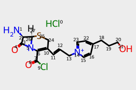 Cl.N[C@@H]1C(=O)N2C(C(=O)Cl)=C(/C=C/C[n+]3ccc(CCCO)cc3)CS[C@H]12